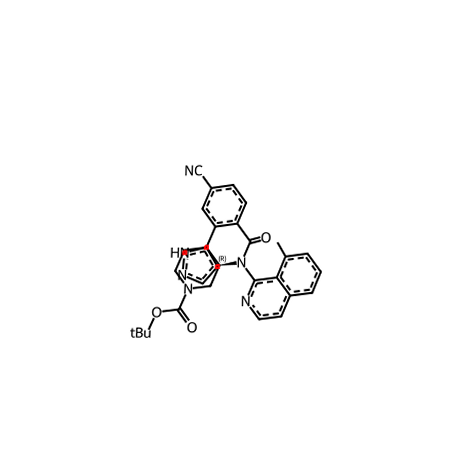 Cc1cccc2ccnc(N(C(=O)c3ccc(C#N)cc3-c3ccn[nH]3)[C@@H]3CCCN(C(=O)OC(C)(C)C)C3)c12